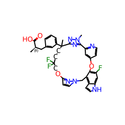 C[C@H](Cc1cccc(C2(C)CCC(F)(F)COc3ccn(n3)Cc3c(c(F)cc4[nH]ccc34)Oc3ccnc(c3)-c3nc2nn3C)c1)C(=O)O